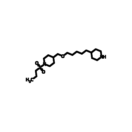 CCCS(=O)(=O)N1CCC(COCCCCCC2CCNCC2)CC1